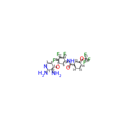 Nc1nccc(Oc2cc(NC(=O)c3cccc(OC(F)(F)F)c3)c(F)c(F)c2F)c1N